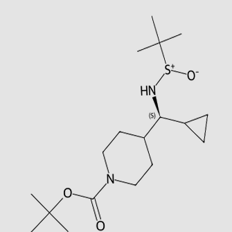 CC(C)(C)OC(=O)N1CCC([C@@H](N[S+]([O-])C(C)(C)C)C2CC2)CC1